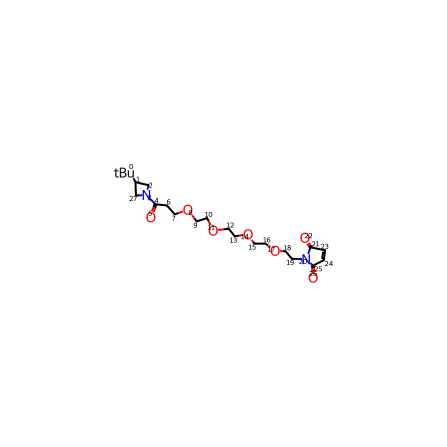 CC(C)(C)C1CN(C(=O)CCOCCOCCOCCOCCN2C(=O)C=CC2=O)C1